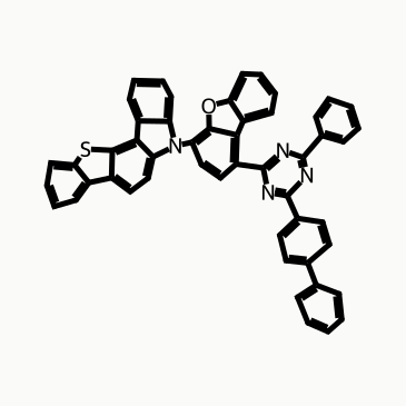 c1ccc(-c2ccc(-c3nc(-c4ccccc4)nc(-c4ccc(-n5c6ccccc6c6c7sc8ccccc8c7ccc65)c5oc6ccccc6c45)n3)cc2)cc1